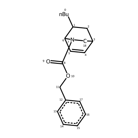 CCCCC1CC2C=CC1N(C(=O)OCc1ccccc1)C2